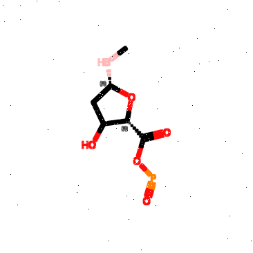 CB[C@H]1CC(O)[C@@H](C(=O)OP=O)O1